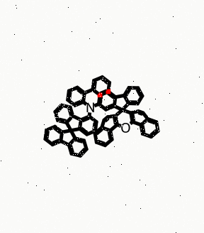 c1ccc(-c2ccccc2N(c2ccc3c(c2)C2(c4ccccc4-3)c3ccc4ccccc4c3Oc3c2ccc2ccccc32)c2cccc3c2-c2ccccc2C32c3ccccc3-c3ccccc32)cc1